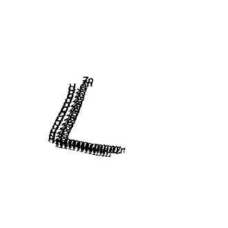 O.O.O.O.O.O.O.O.O.O.O.O.O.O.O.O.O.O.O.O.O.O.O.O.O.O.O.O.[Zn].[Zn].[Zn]